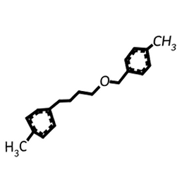 Cc1ccc(CCCCOCc2ccc(C)cc2)cc1